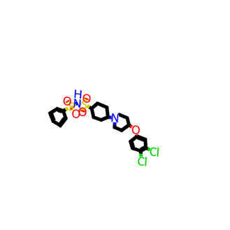 O=S(=O)(NS(=O)(=O)C1CCC(N2CCC(Oc3ccc(Cl)c(Cl)c3)CC2)CC1)c1ccccc1